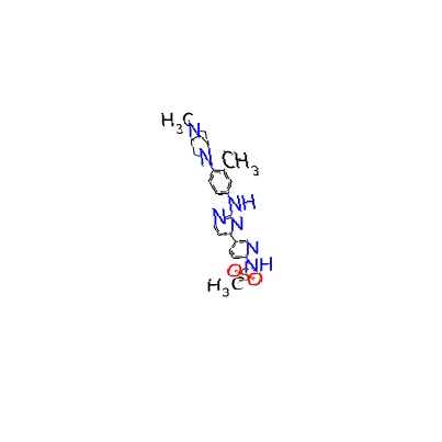 Cc1cc(Nc2nccc(-c3ccc(NS(C)(=O)=O)nc3)n2)ccc1N1CC2CC1CN2C